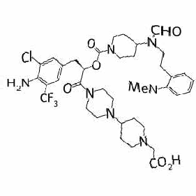 CNc1ccccc1CCN(C=O)C1CCN(C(=O)O[C@H](Cc2cc(Cl)c(N)c(C(F)(F)F)c2)C(=O)N2CCN(C3CCN(CC(=O)O)CC3)CC2)CC1